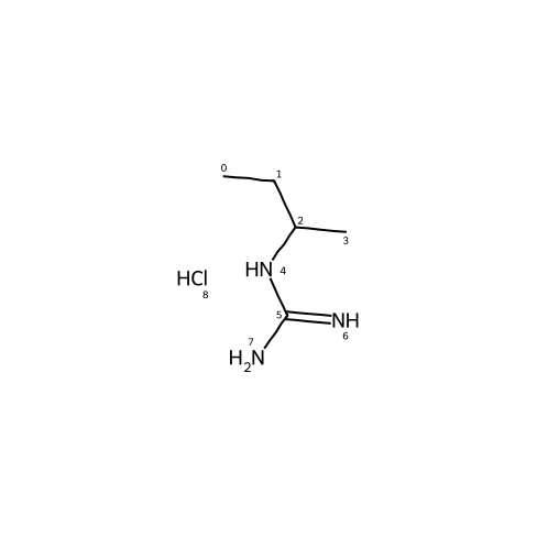 CCC(C)NC(=N)N.Cl